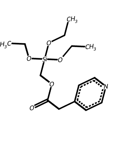 CCO[Si](COC(=O)Cc1ccncc1)(OCC)OCC